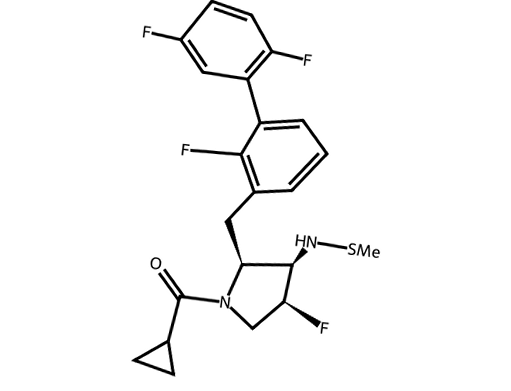 CSN[C@H]1[C@@H](F)CN(C(=O)C2CC2)[C@H]1Cc1cccc(-c2cc(F)ccc2F)c1F